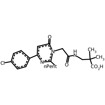 CCCCCc1nc(-c2ccc(Cl)cc2)cc(=O)n1CC(=O)NCC(C)(C)C(=O)O